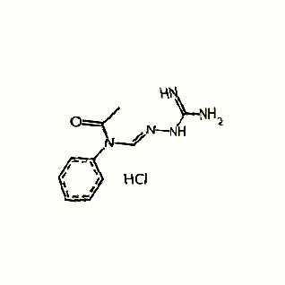 CC(=O)N(C=NNC(=N)N)c1ccccc1.Cl